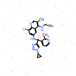 BC(Nc1cc(Cl)c2ncc(C#N)c(NCC(C)(C)C)c2c1)(c1cn(C2CC2)nn1)c1cccnc1C